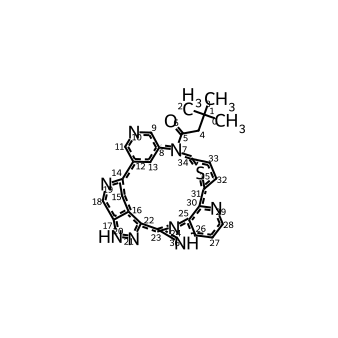 CC(C)(C)CC(=O)n1c2cncc(c2)c2cc3c(cn2)[nH]nc3c2nc3c(ccnc3c3ccc1s3)[nH]2